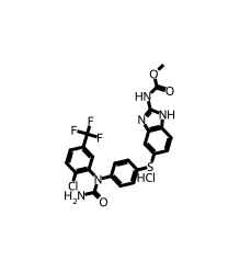 COC(=O)Nc1nc2cc(Sc3ccc(N(C(N)=O)c4cc(C(F)(F)F)ccc4Cl)cc3)ccc2[nH]1.Cl